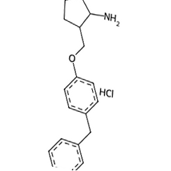 Cl.NC1CCCC1COc1ccc(Cc2ccccc2)cc1